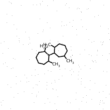 CC1CCCC(C)C([C]2C(C)CCCCC2C)C1